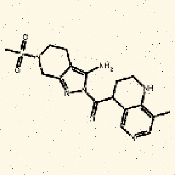 Cc1cncc2c1NCCC2C(=O)n1nc2c(c1N)CCN(S(C)(=O)=O)C2